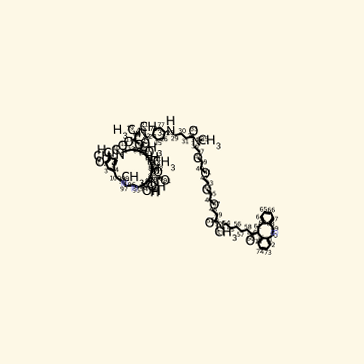 COc1cc2cc(c1Cl)N(C)C(=O)C[C@H](OC(=O)[C@H](C)N(C)C(=O)[C@H]1CC[C@H](NCCCC(=O)N(C)CCOCCOCCOCCOCCC(=O)N(C)CCCCCC(=O)C3Cc4ccccc4/C=C\c4ccccc43)CC1)[C@]1(C)O[C@H]1[C@H](C)[C@@H]1C[C@@](O)(NC(=O)O1)[C@H](O)/C=C/C=C(\C)C2